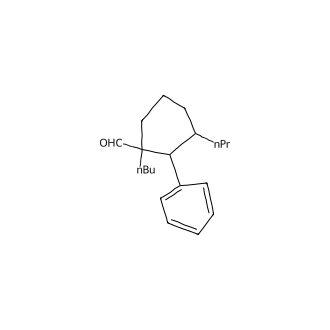 CCCCC1(C=O)CCCC(CCC)C1c1ccccc1